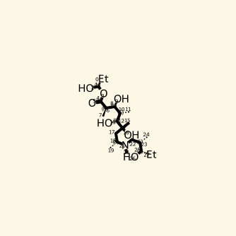 CC[C@H](O)OC(=O)[C@H](C)[C@@H](O)[C@H](C)[C@@H](O)C(C)(O)C[C@@H](C)N(C)C[C@H](C)[C@@H](O)CC